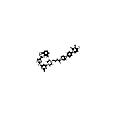 Cc1nc(Nc2ncc(C(=O)Nc3c(C)cccc3Cl)s2)cc(N2CCN(CCCC(=O)N3CC4CC3CN4c3ccc(-n4ccc(=O)[nH]c4=O)cc3)CC2)n1